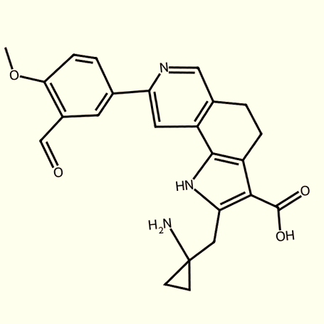 COc1ccc(-c2cc3c(cn2)CCc2c-3[nH]c(CC3(N)CC3)c2C(=O)O)cc1C=O